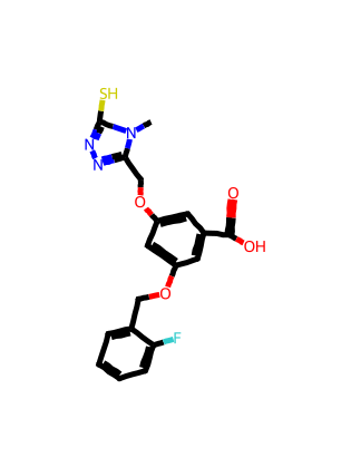 Cn1c(S)nnc1COc1cc(OCc2ccccc2F)cc(C(=O)O)c1